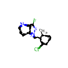 Cc1cccc(Cl)c1Cn1nc(Br)c2ncccc21